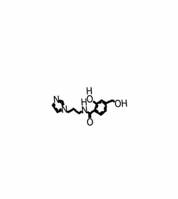 O=C(NCCCn1ccnc1)c1ccc(CO)cc1O